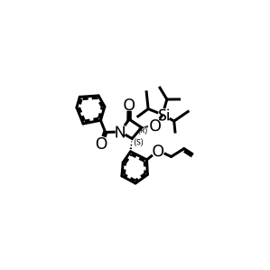 C=CCOc1ccccc1[C@H]1[C@@H](O[Si](C(C)C)(C(C)C)C(C)C)C(=O)N1C(=O)c1ccccc1